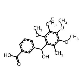 COc1c(C)c(C(O)c2cccc(C(=O)O)c2)c(OC)c(OC)c1OC